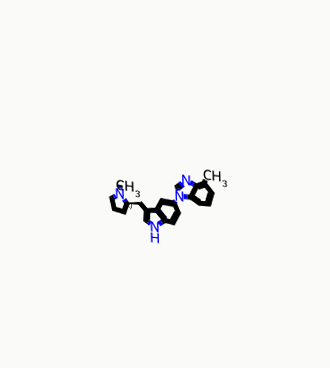 Cc1cccc2c1ncn2-c1ccc2[nH]cc(C[C@H]3CCCN3C)c2c1